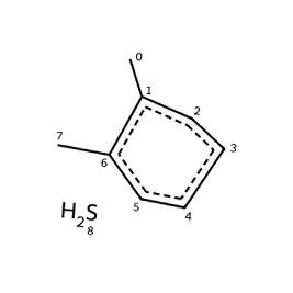 Cc1ccccc1C.S